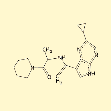 C=C(NC(C)C(=O)N1CCCCC1)c1c[nH]c2ncc(C3CC3)nc12